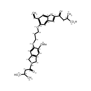 C=Cc1cc2sc(C(=O)CC(C)C(=O)O)cc2cc1OCCCOc1cc2c(cc1OC)CN(C(=O)CC(C)C(=O)O)C2